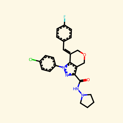 O=C(NN1CCCC1)c1nn(-c2ccc(Cl)cc2)c2c1COC/C2=C\c1ccc(F)cc1